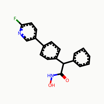 O=C(NO)C(c1ccccc1)c1ccc(-c2ccc(F)nc2)cc1